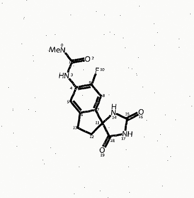 CNC(=O)Nc1cc2c(cc1F)C1(CC2)NC(=O)NC1=O